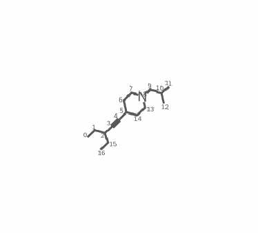 CCC(C#CC1CCN(CC(C)C)CC1)CC